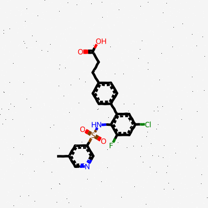 Cc1cncc(S(=O)(=O)Nc2c(F)cc(Cl)cc2-c2ccc(CCC(=O)O)cc2)c1